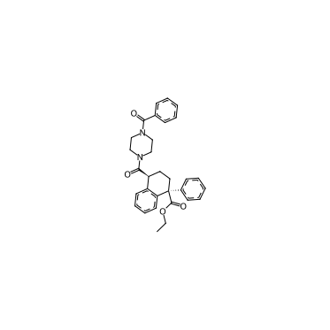 CCOC(=O)[C@]1(c2ccccc2)CC[C@H](C(=O)N2CCN(C(=O)c3ccccc3)CC2)c2ccccc21